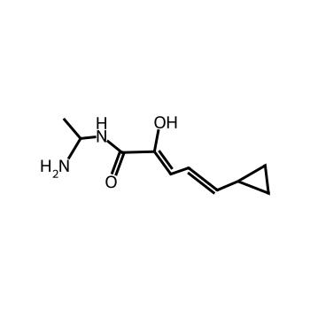 CC(N)NC(=O)/C(O)=C/C=C/C1CC1